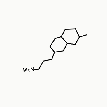 CNCCCC1CCC2CCC(C)CC2C1